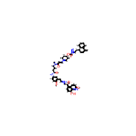 C=C(/C=C\C=C/CNC(=O)OC1CCN(CCC(=O)N(C)CCCC(=O)Nc2ccc(OC)c(CCNC[C@H](O)c3ccc(O)c4[nH]c(=O)ccc34)c2)CC1)c1ccccc1